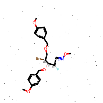 CO/N=C/[C@H](F)[C@H](OCc1ccc(OC)cc1)[C@@H](Br)COCc1ccc(OC)cc1